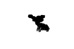 CC(C)(C)CCN(C(=O)O)c1nn(C(c2ccccc2)(c2ccccc2)c2ccccc2)c2cc(NC(=O)OCc3ccccc3)ncc12